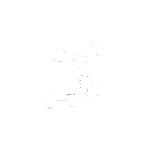 c1ccc(-c2ccc3c(c2)-c2cc(-c4nc(-c5ccccc5)nc(-c5ccccc5)n4)cc4cccc-3c24)cc1